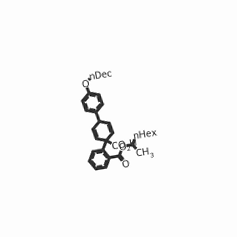 CCCCCCCCCCOc1ccc(C2C=CC(C(=O)O)(c3ccccc3C(=O)OC(C)CCCCCC)C=C2)cc1